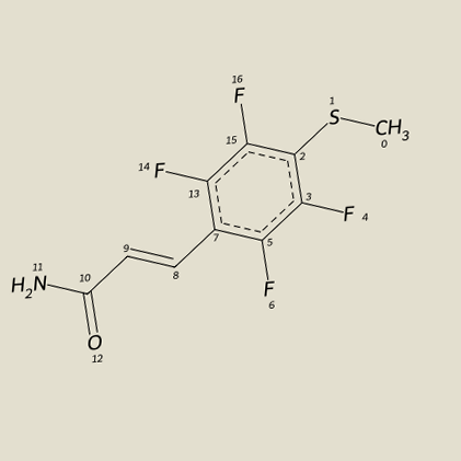 CSc1c(F)c(F)c(/C=C/C(N)=O)c(F)c1F